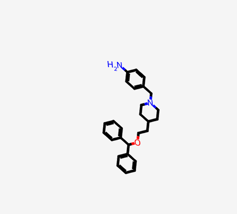 Nc1ccc(CN2CCC(CCOC(c3ccccc3)c3ccccc3)CC2)cc1